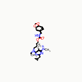 C=CN(CCCCOC(=O)NCc1ccc2c(c1)OCO2)c1nc(CC2CC2)nc(NC)c1C